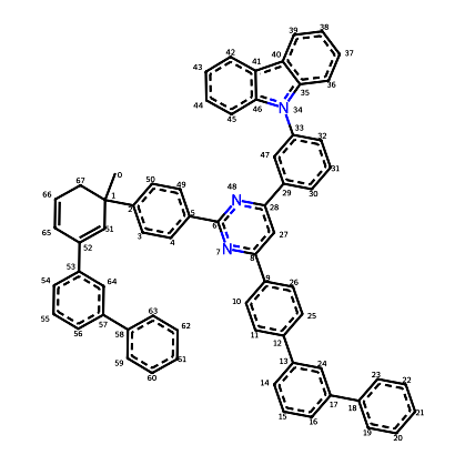 CC1(c2ccc(-c3nc(-c4ccc(-c5cccc(-c6ccccc6)c5)cc4)cc(-c4cccc(-n5c6ccccc6c6ccccc65)c4)n3)cc2)C=C(c2cccc(-c3ccccc3)c2)C=CC1